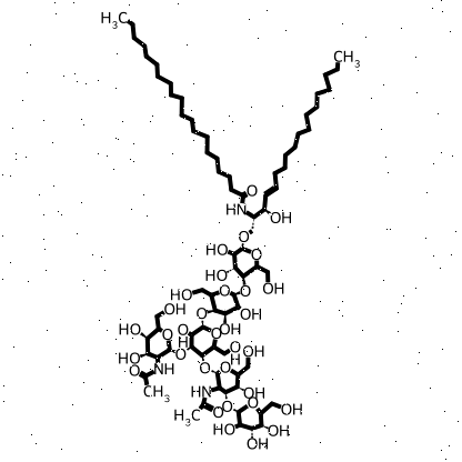 CCCCCCCCCCCCC/C=C/[C@@H](O)[C@H](CO[C@@H]1OC(CO)[C@@H](O[C@@H]2OC(CO)[C@H](O[C@@H]3OC(CO)[C@H](O[C@@H]4OC(CO)[C@H](O)[C@H](O[C@@H]5OC(CO)[C@H](O)[C@H](O)C5O)C4NC(C)=O)[C@H](O[C@@H]4OC(CO)[C@H](O)[C@H](O)C4NC(C)=O)C3O)[C@H](O)C2O)[C@H](O)C1O)NC(=O)CCCCCCCCCCCCCCCCCCC